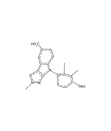 COc1ccc(-n2c3ccc(C(=O)O)cc3c3cn(C)nc32)c(C)c1C